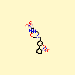 O=[N+]([O-])c1cn2c(n1)OCCN(Cc1ccc(-c3ccccc3[N+](=O)[O-])cc1)CC2